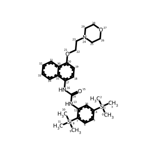 C[Si](C)(C)c1ccc([Si](C)(C)C)c(NC(=O)Nc2ccc(OCCN3CCOCC3)c3ccccc23)c1